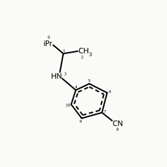 CC(C)C(C)Nc1ccc(C#N)cc1